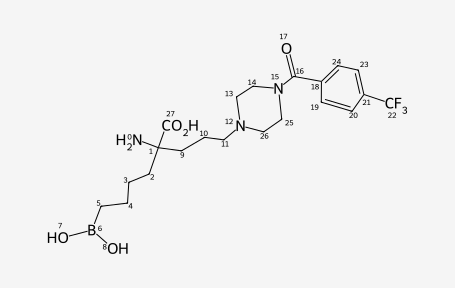 NC(CCCCB(O)O)(CCCN1CCN(C(=O)c2ccc(C(F)(F)F)cc2)CC1)C(=O)O